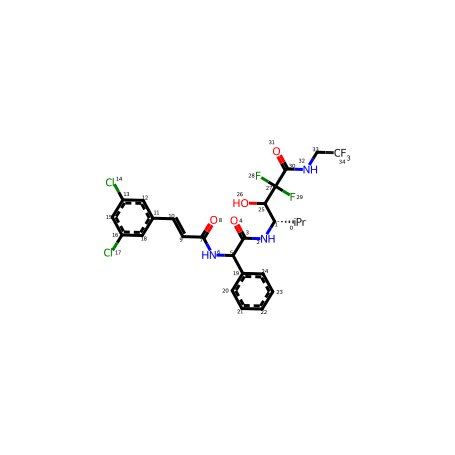 CC(C)[C@H](NC(=O)C(NC(=O)/C=C/c1cc(Cl)cc(Cl)c1)c1ccccc1)C(O)C(F)(F)C(=O)NCC(F)(F)F